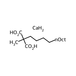 CCCCCCCCCCCCC(C)(C(=O)O)C(=O)O.[CaH2]